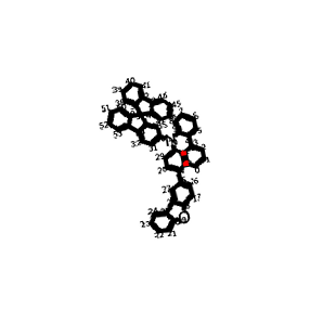 c1ccc(-c2ccccc2N(c2ccc(-c3ccc4oc5ccccc5c4c3)cc2)c2ccc3c(c2)C2(c4ccccc4-c4ccccc42)c2ccccc2-3)cc1